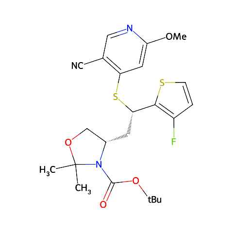 COc1cc(S[C@@H](C[C@H]2COC(C)(C)N2C(=O)OC(C)(C)C)c2sccc2F)c(C#N)cn1